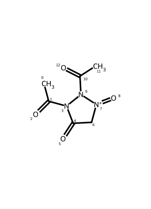 CC(=O)N1C(=O)C[N+](=O)N1C(C)=O